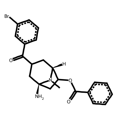 CN1[C@@H]2CC(C(=O)c3cccc(Br)c3)C[C@@]1(N)CC2OC(=O)c1ccccc1